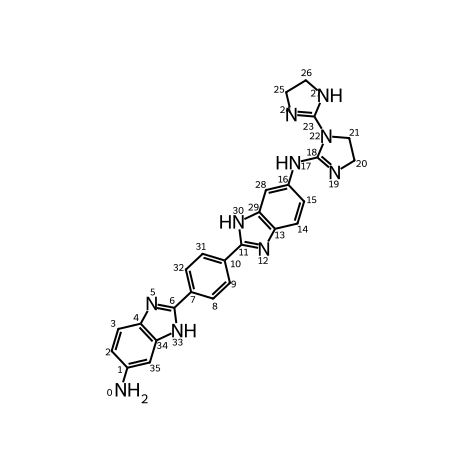 Nc1ccc2nc(-c3ccc(-c4nc5ccc(NC6=NCCN6C6=NCCN6)cc5[nH]4)cc3)[nH]c2c1